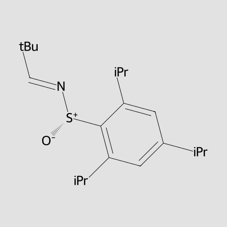 CC(C)c1cc(C(C)C)c([S@+]([O-])/N=C/C(C)(C)C)c(C(C)C)c1